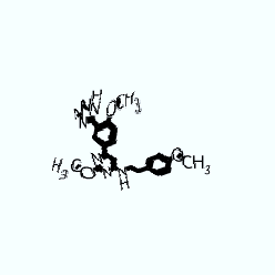 COc1ccc(CCNc2cc(-c3ccc(OC)c(-c4nnn[nH]4)c3)nc(OC)n2)cc1